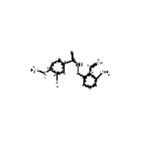 C=C(NCc1cccc(N)c1C=N)c1ccc(OC(F)(F)F)c(F)c1